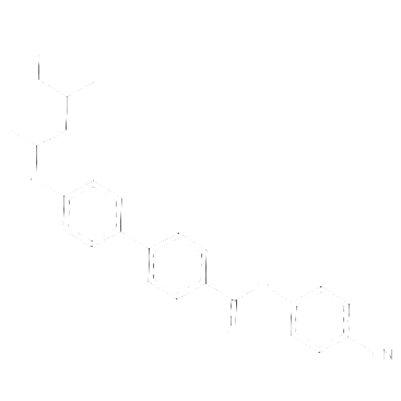 CC(CI)CC(C)Oc1ccc(-c2ccc(C(=O)Oc3ccc(C#N)cc3)cc2)cc1